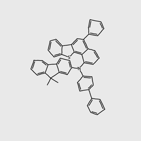 CC1(C)c2ccccc2-c2ccc(N(c3ccc(-c4ccccc4)cc3)c3cccc4c(-c5ccccc5)cc5c6ccccc6sc5c34)cc21